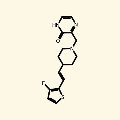 O=c1[nH]ccnc1CN1CCC(/C=C/c2sccc2F)CC1